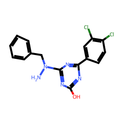 NN(Cc1ccccc1)c1nc(O)nc(-c2ccc(Cl)c(Cl)c2)n1